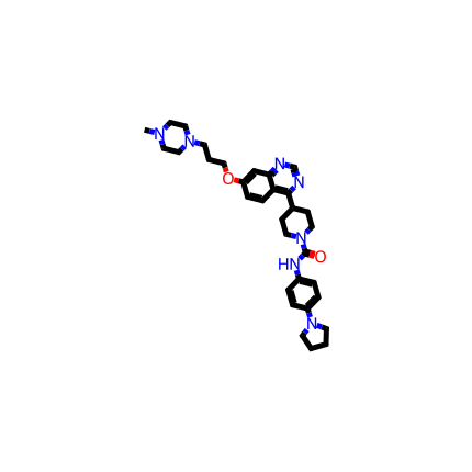 CN1CCN(CCCOc2ccc3c(C4CCN(C(=O)Nc5ccc(N6CCCC6)cc5)CC4)ncnc3c2)CC1